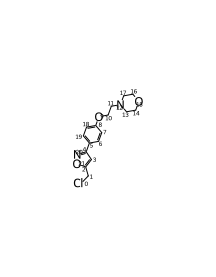 ClCc1cc(-c2ccc(OCCN3CCOCC3)cc2)no1